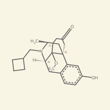 COC12[C@@H](C)CC(=O)C[C@@]13CCN(CC1CCC1)[C@@H]2Cc1ccc(O)cc13